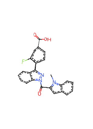 Cn1c(C(=O)n2nc(-c3ccc(C(=O)O)cc3F)c3ccccc32)cc2ccccc21